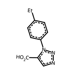 CCc1ccc(-n2nncc2C(=O)O)cc1